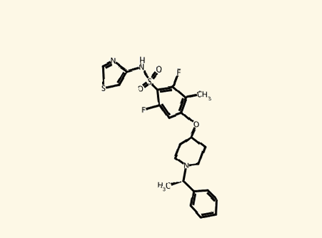 Cc1c(OC2CCN([C@H](C)c3ccccc3)CC2)cc(F)c(S(=O)(=O)Nc2cscn2)c1F